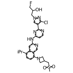 CC(C)c1ccc(N2CC(CS(C)(=O)=O)C2)c2cnc(Nc3ccnc(-c4cn(CC(O)CF)nc4Cl)n3)cc12